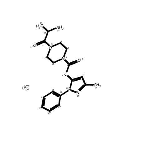 Cc1cc(OC(=O)N2CCN(C(=O)C(C)N)CC2)n(-c2ccccc2)n1.Cl